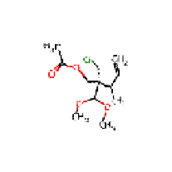 C=CC(C)[C@](CCl)(COC(C)=O)C(OC)OC